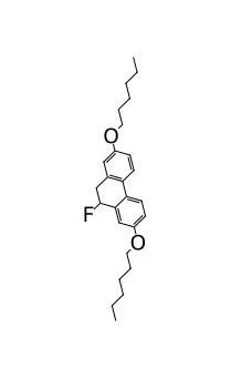 CCCCCCOc1ccc2c(c1)CC(F)c1cc(OCCCCCC)ccc1-2